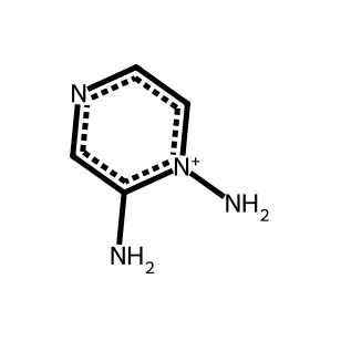 Nc1cncc[n+]1N